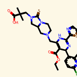 CCOC(=O)C1=C(CN2CCN3C(=S)N(CC(C)(C)C(=O)O)CC3C2)NC(c2nccs2)=NC1c1ccc(F)nc1C